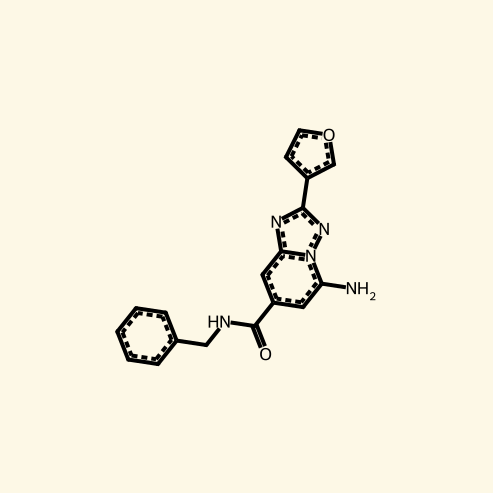 Nc1cc(C(=O)NCc2ccccc2)cc2nc(-c3ccoc3)nn12